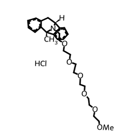 COCCOCCOCCOCCOCCOCCN1[C@@H]2Cc3ccccc3[C@@]1(C)c1ccccc12.Cl